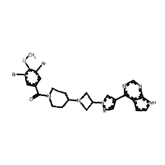 COc1c(Br)cc(C(=O)N2CCC(N3C[C](n4cc(-c5ncnc6[nH]ccc56)cn4)C3)CC2)cc1Br